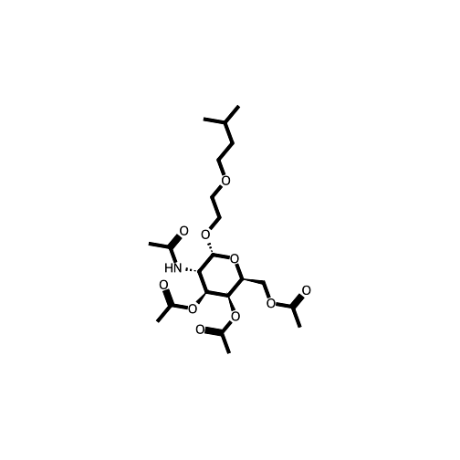 CC(=O)N[C@@H]1[C@H](OCCOCCC(C)C)O[C@@H](COC(C)=O)[C@@H](OC(C)=O)[C@H]1OC(C)=O